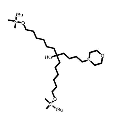 CC(C)(C)[Si](C)(C)OCCCCCCC(O)(CCCCCCO[Si](C)(C)C(C)(C)C)CCCCN1CCOCC1